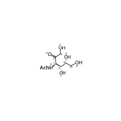 CC(=O)N[C@@H](C(=O)CO)[C@@H](O)[C@H](O)CO